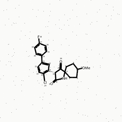 COC1CCC2(CC1)NC(=O)[C@H](c1cc(-c3ccc(F)cc3)ccc1Cl)C2=O